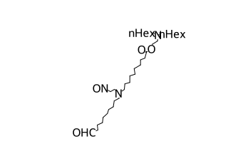 CCCCCCN(CCCCCC)CCOC(=O)CCCCCCCCCN(CCCCCCCCCC=O)CCN=O